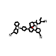 C=C/C(C#N)=C\c1c(C)c2ccccc2n1C1=C(c2ccc(-c3ccc(-n4c5ccccc5c5cc(C#N)ccc54)cc3)cc2)C=C(C#N)CC1